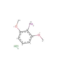 COc1cccc(OC)c1P.Cl